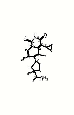 Cc1c(N2CCC(F)(C(C)N)C2)c(F)cn2c(=O)[nH]c(=O)c(C3CC3)c12